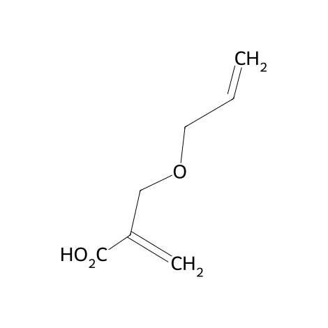 C=CCOCC(=C)C(=O)O